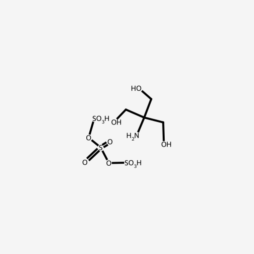 NC(CO)(CO)CO.O=S(=O)(O)OS(=O)(=O)OS(=O)(=O)O